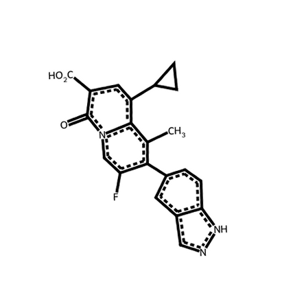 Cc1c(-c2ccc3[nH]ncc3c2)c(F)cn2c(=O)c(C(=O)O)cc(C3CC3)c12